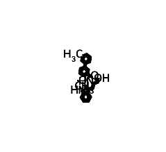 CCOc1ccc(-c2cccc(C)c2)cc1C(=O)NC(CO)Cc1c[nH]c2ccccc12